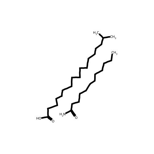 CC(C)CCCCCCCCCCCCCCC(=O)O.CCCCCCCCCCCC(N)=O